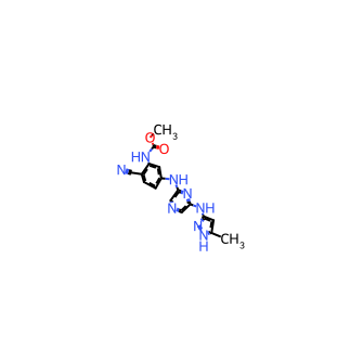 COC(=O)Nc1cc(Nc2cncc(Nc3cc(C)[nH]n3)n2)ccc1C#N